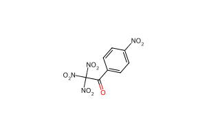 O=C(c1ccc([N+](=O)[O-])cc1)C([N+](=O)[O-])([N+](=O)[O-])[N+](=O)[O-]